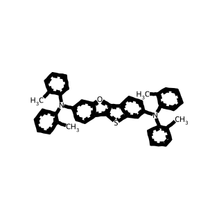 Cc1ccccc1N(c1ccc2c(c1)oc1c3ccc(N(c4ccccc4C)c4ccccc4C)cc3sc21)c1ccccc1C